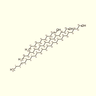 CCCCCCCCCCCCCCCCCCCCCCCCCCO.CCCCCCCCCCCCCCCCCCO.CCCCCCCCCCCO